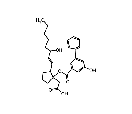 CCCCCC(O)C=CC1CCCC1(CC(=O)O)OC(=O)c1cc(O)cc(-c2ccccc2)c1